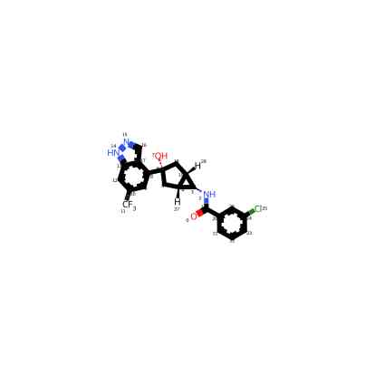 O=C(N[C@@H]1[C@@H]2C[C@@](O)(c3cc(C(F)(F)F)cc4[nH]ncc34)C[C@@H]21)c1cccc(Cl)c1